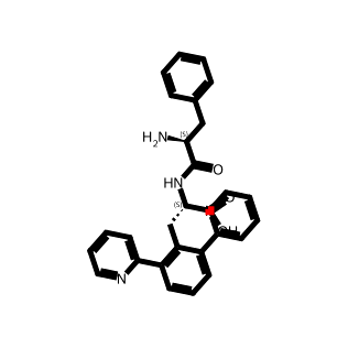 N[C@@H](Cc1ccccc1)C(=O)N[C@@H](Cc1c(-c2ccccn2)cccc1-c1ccccn1)C(=O)O